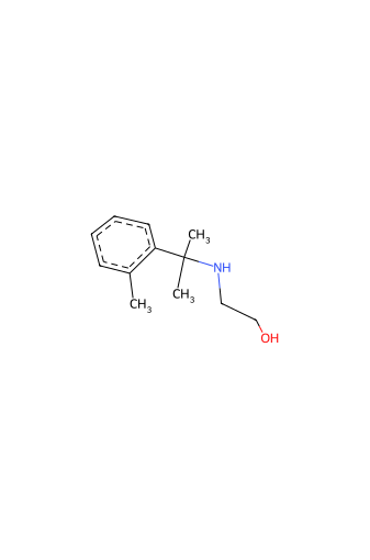 Cc1ccccc1C(C)(C)NCCO